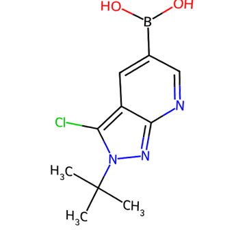 CC(C)(C)n1nc2ncc(B(O)O)cc2c1Cl